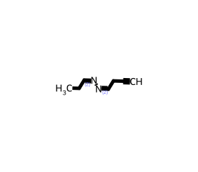 C#CC/C=N\N=C/CC